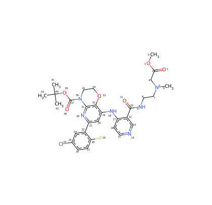 COC(=O)CN(C)CCNC(=O)c1cnccc1Nc1cc(-c2cc(Cl)ccc2F)nc2c1OCCN2C(=O)OC(C)(C)C